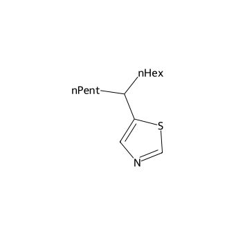 CCCCCCC(CCCCC)c1cncs1